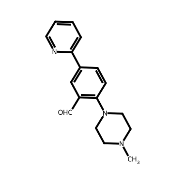 CN1CCN(c2ccc(-c3ccccn3)cc2C=O)CC1